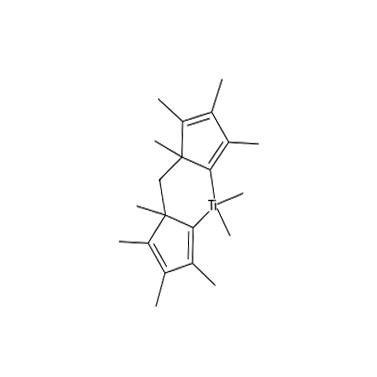 CC1=C(C)C2(C)CC3(C)C(C)=C(C)C(C)=[C]3[Ti]([CH3])([CH3])[C]2=C1C